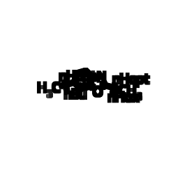 CCCCCCCC(C)(CCCC)c1ccc2nc(C(C)(CCCCCC)CCCCCCC)oc2c1